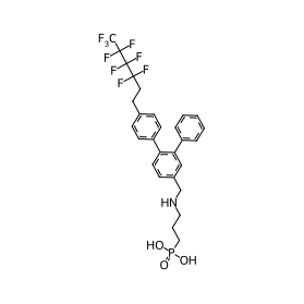 O=P(O)(O)CCCNCc1ccc(-c2ccc(CCC(F)(F)C(F)(F)C(F)(F)C(F)(F)F)cc2)c(-c2ccccc2)c1